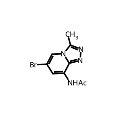 CC(=O)Nc1cc(Br)cn2c(C)nnc12